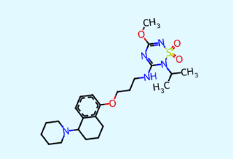 COC1=NS(=O)(=O)N(C(C)C)C(NCCCOc2cccc3c2CCCC3N2CCCCC2)=N1